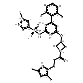 Cc1cc(C)n(CCC(=O)N2CC(Oc3cc(-c4c(C)cccc4C)nc(NS(=O)(=O)c4cnn(C)c4)n3)C2)n1